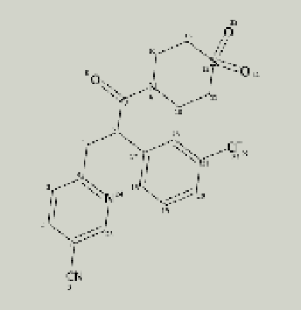 N#Cc1ccc(CC(C(=O)N2CCS(=O)(=O)CC2)c2cccc(C(F)(F)F)c2)nc1